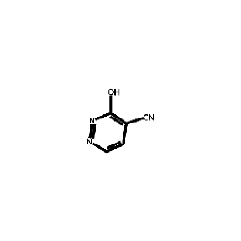 N#Cc1ccnnc1O